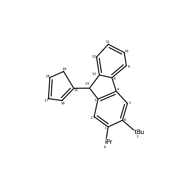 CC(C)c1[c]c2c(cc1C(C)(C)C)-c1ccccc1C2C1=CC=CC1